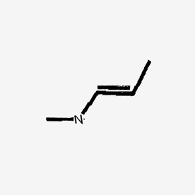 CC=C[N]C